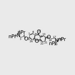 CCCN(CCC)CCOc1ccc2c(=O)c3cc(OCCN(CCC)CCC)ccc3oc2c1